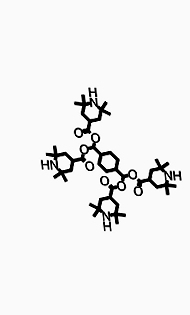 CC1(C)CC(C(=O)OC(OC(=O)C2CC(C)(C)NC(C)(C)C2)C2CCC(C(OC(=O)C3CC(C)(C)NC(C)(C)C3)OC(=O)C3CC(C)(C)NC(C)(C)C3)CC2)CC(C)(C)N1